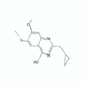 COc1cc2nc(CC3CC3)nc(O)c2cc1OC